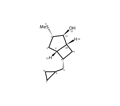 CS[C@H]1C[C@H]2[C@@H](CC3CC3)C[C@H]2[C@@H]1O